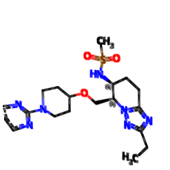 CCc1nc2n(n1)[C@@H](COC1CCN(c3ncccn3)CC1)[C@@H](NS(C)(=O)=O)CC2